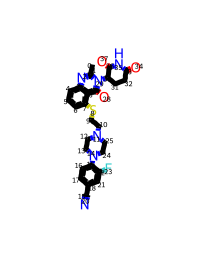 Cc1nc2cccc(SCCN3CCN(c4ccc(C#N)cc4F)CC3)c2c(=O)n1C1CCC(=O)NC1=O